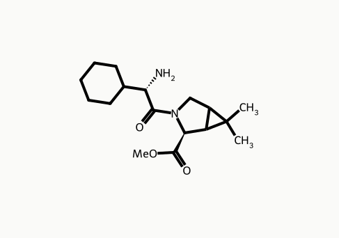 COC(=O)[C@@H]1C2C(CN1C(=O)[C@@H](N)C1CCCCC1)C2(C)C